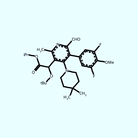 COc1c(F)cc(-c2c(C=O)nc(C)c(C(OC(C)(C)C)C(=O)OC(C)C)c2N2CCC(C)(C)CC2)cc1F